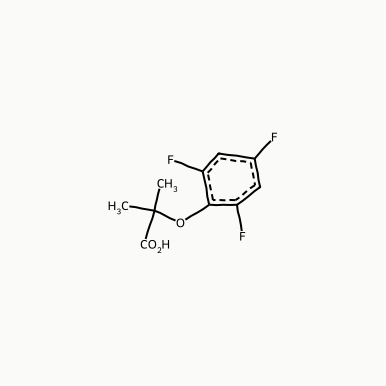 CC(C)(Oc1c(F)cc(F)cc1F)C(=O)O